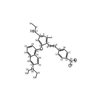 CCNc1cc(C)c(/N=N/c2ccc([N+](=O)[O-])cc2)c(Oc2cccc3cc(N(CC)CC)ccc23)c1